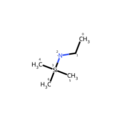 CC[N][Si](C)(C)C